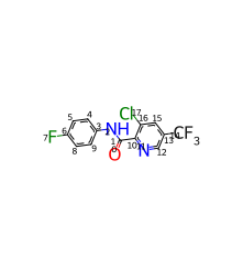 O=C(Nc1ccc(F)cc1)c1ncc(C(F)(F)F)cc1Cl